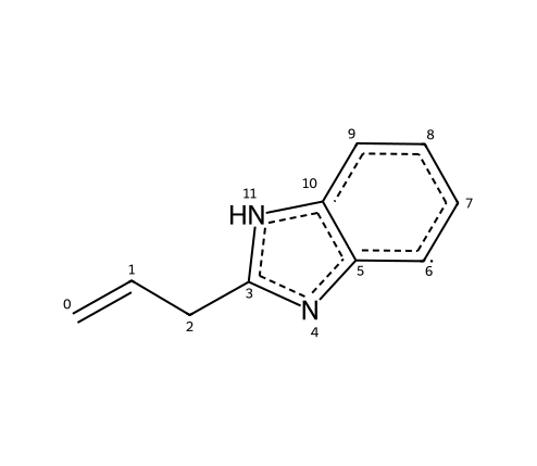 C=CCc1nc2[c]cccc2[nH]1